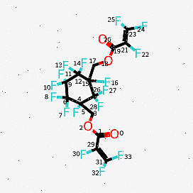 O=C(OCC1(F)C(F)(F)C(F)(F)C(F)(F)C(F)(COC(=O)C(F)=C(F)F)C1(F)F)C(F)=C(F)F